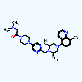 CC1CN(c2ccc(C#N)c3ncccc23)CC(C)N1Cc1ncc(N2CCN(C(=O)CN(C)C)CC2)cn1